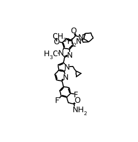 COc1cc(C(=O)N2CC3CCC2C3N)cc2nc(-c3cc4ccc(-c5cc(F)c(CC(N)=O)c(F)c5)nc4n3CC3CC3)n(C)c12